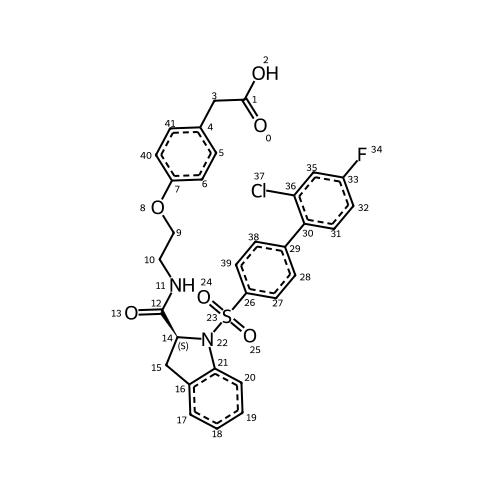 O=C(O)Cc1ccc(OCCNC(=O)[C@@H]2Cc3ccccc3N2S(=O)(=O)c2ccc(-c3ccc(F)cc3Cl)cc2)cc1